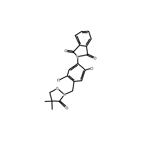 CC1(C)CON(Cc2cc(Cl)c(N3C(=O)c4ccccc4C3=O)cc2Cl)C1=O